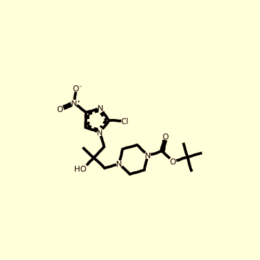 CC(O)(CN1CCN(C(=O)OC(C)(C)C)CC1)Cn1cc([N+](=O)[O-])nc1Cl